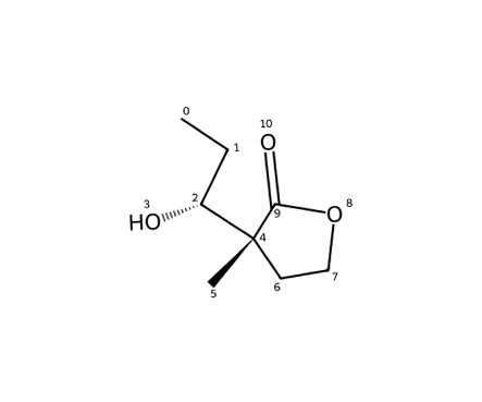 CC[C@@H](O)[C@@]1(C)CCOC1=O